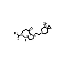 O=C(O)N1CCC(=O)N2[C@@H](CCN3CCC4(CC4)[C@H](O)C3)CC[C@H]2C1